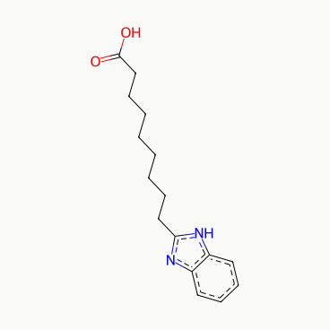 O=C(O)CCCCCCCCc1nc2ccccc2[nH]1